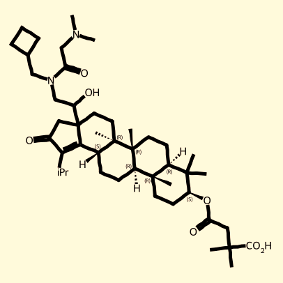 CC(C)C1=C2[C@H]3CC[C@@H]4[C@@]5(C)CC[C@H](OC(=O)CC(C)(C)C(=O)O)C(C)(C)[C@@H]5CC[C@@]4(C)[C@]3(C)CCC2(C(O)CN(CC2CCC2)C(=O)CN(C)C)CC1=O